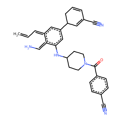 C=C/C=c1/cc(C2C=C(C#N)C=CC2)cc(NC2CCN(C(=O)c3ccc(C#N)cc3)CC2)/c1=C/N